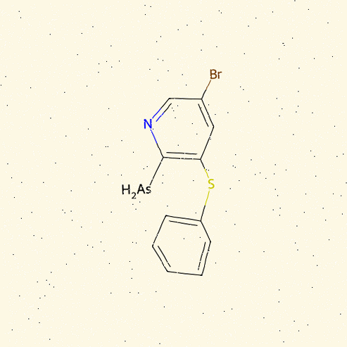 [AsH2]c1ncc(Br)cc1Sc1ccccc1